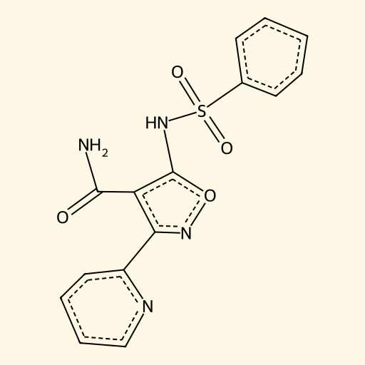 NC(=O)c1c(-c2ccccn2)noc1NS(=O)(=O)c1ccccc1